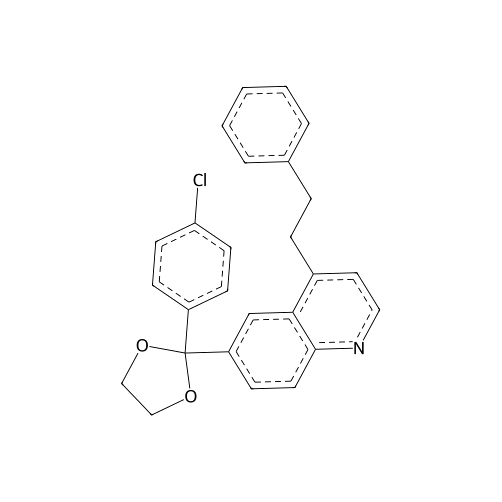 Clc1ccc(C2(c3ccc4nccc(CCc5ccccc5)c4c3)OCCO2)cc1